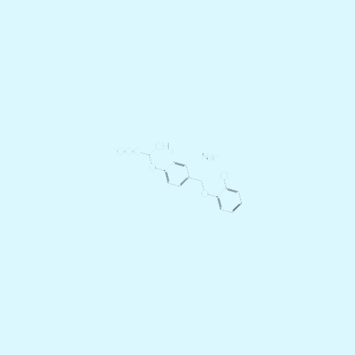 CC(Oc1ccc(COc2ccccc2Cl)cc1)C(=O)[O-].[Na+]